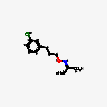 CCCCCC/C(=N\OCCCc1cccc(Cl)c1)C(=O)O